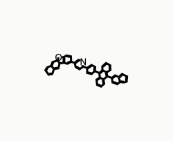 C1=c2ccccc2=CC2c3cc(-c4ccc(-c5ccc(-c6c7ccccc7c(-c7ccc8ccccc8c7)c7ccccc67)cc5)nc4)ccc3OC12